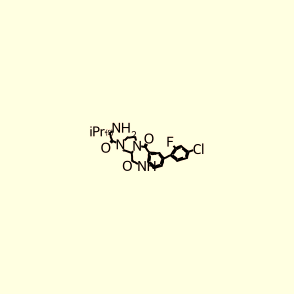 CC(C)[C@H](N)C(=O)N1CCN2C(=O)c3cc(-c4ccc(Cl)cc4F)ccc3NC(=O)C2C1